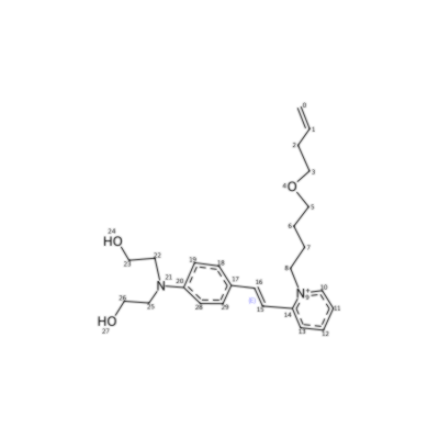 C=CCCOCCCC[n+]1ccccc1/C=C/c1ccc(N(CCO)CCO)cc1